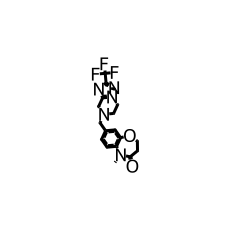 CN1C(=O)CCOc2cc(CN3CCn4nc(C(F)(F)F)nc4C3)ccc21